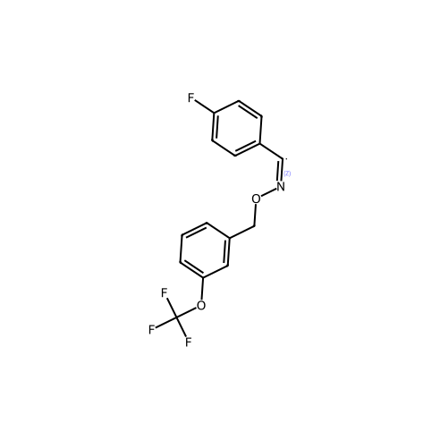 Fc1ccc(/[C]=N\OCc2cccc(OC(F)(F)F)c2)cc1